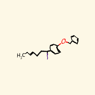 CCC=CCCC(I)c1ccc(OCc2ccccc2)cc1